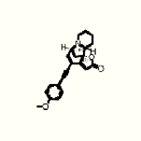 COc1ccc(C#CC2=C[C@@H]3C[C@@]4(OC(=O)C=C24)[C@H]2CCCCN32)cc1